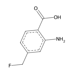 Nc1cc(CF)ccc1C(=O)O